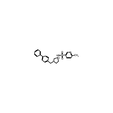 Cc1ccc(S(=O)(=O)N[C@@H]2CCN(Cc3ccc(-c4ccccc4)cc3)C2)cn1